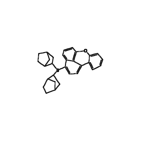 c1ccc2c(c1)Oc1cccc3c(B(C4CC5CCC4C5)C4CC5CCC4C5)ccc-2c13